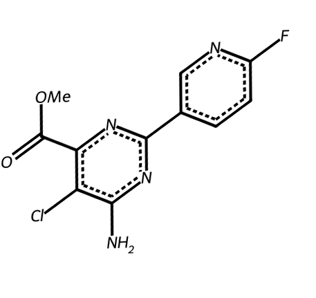 COC(=O)c1nc(-c2ccc(F)nc2)nc(N)c1Cl